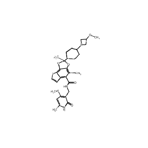 COC1CN(C2CCC(C3(C)Oc4c(C)c(C(=O)NCc5c(SC)cc(C)[nH]c5=O)c5ccsc5c4O3)CC2)C1